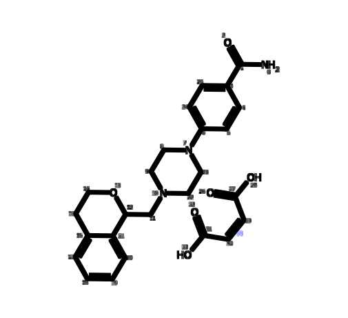 NC(=O)c1ccc(N2CCN(CC3OCCc4ccccc43)CC2)cc1.O=C(O)/C=C\C(=O)O